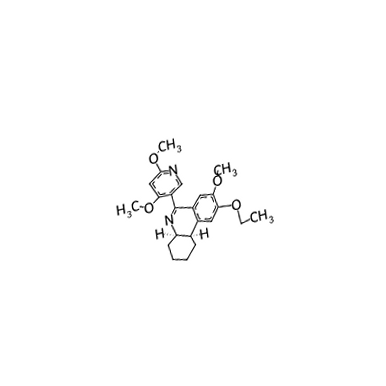 CCOc1cc2c(cc1OC)C(c1cnc(OC)cc1OC)=N[C@@H]1CCCC[C@H]21